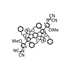 COc1cc(N=C(C#N)C#N)sc1-c1nc2c(s1)-c1cc3c(cc1C2(C(=O)OCc1ccccc1)C(=O)OCc1ccccc1)-c1sc(-c2sc(N=C(C#N)C#N)cc2OC)nc1C3(C(=O)OCc1ccccc1)C(=O)OCc1ccccc1